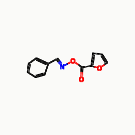 O=C(ON=Cc1ccccc1)c1ccco1